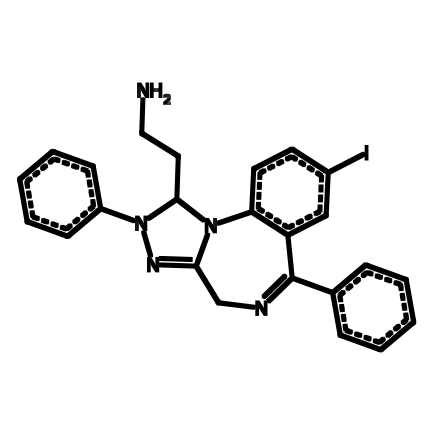 NCCC1N(c2ccccc2)N=C2CN=C(c3ccccc3)c3cc(I)ccc3N21